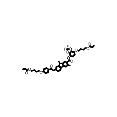 C=CC(=O)OCCCCOc1ccc(C(=O)Cc2ccc3c(c2)C(C)c2cc(C(=O)Oc4ccc(OCCCCOC(=O)C=C)c5c4OC(F)(F)O5)c(C)cc2-3)cc1